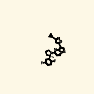 C[C@]1(c2cc(F)ccc2F)CCCN1c1ccn2ncc(-c3cc(C4CC4)no3)c2n1